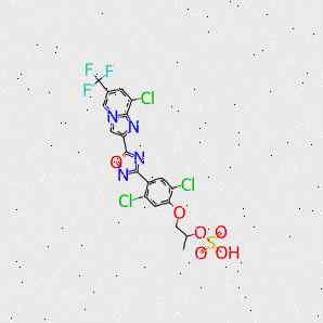 CC(COc1cc(Cl)c(-c2noc(-c3cn4cc(C(F)(F)F)cc(Cl)c4n3)n2)cc1Cl)OS(=O)(=O)O